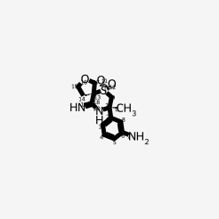 C[C@@]1(c2cccc(N)c2)CS(=O)(=O)[C@@]2(CCOC2)C(=N)N1